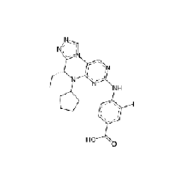 CC[C@@H]1c2nncn2-c2cnc(Nc3ccc(C(=O)O)cc3I)nc2N1C1CCCC1